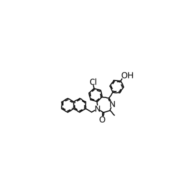 CC1N=C(c2ccc(O)cc2)c2cc(Cl)ccc2N(Cc2ccc3ccccc3c2)C1=O